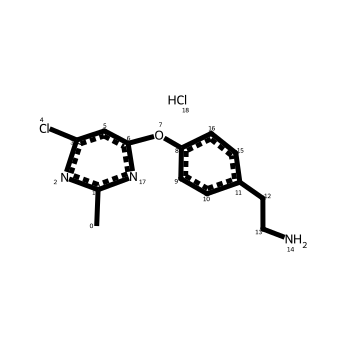 Cc1nc(Cl)cc(Oc2ccc(CCN)cc2)n1.Cl